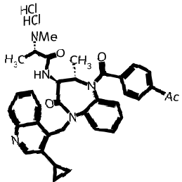 CN[C@@H](C)C(=O)N[C@@H]1C(=O)N(Cc2c(C3CC3)cnc3ccccc23)c2ccccc2N(C(=O)c2ccc(C(C)=O)cc2)[C@H]1C.Cl.Cl